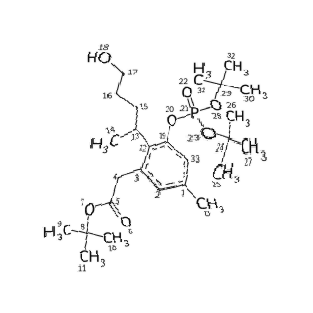 Cc1cc(CC(=O)OC(C)(C)C)c(C(C)CCCO)c(OP(=O)(OC(C)(C)C)OC(C)(C)C)c1